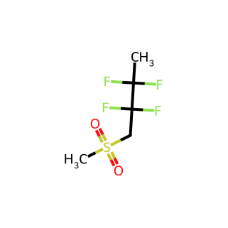 CC(F)(F)C(F)(F)CS(C)(=O)=O